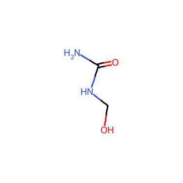 NC(=O)NCO